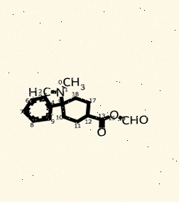 CN(C)C1(c2ccccc2)CCC(C(=O)OC=O)CC1